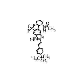 CC(=O)Nc1ccccc1-c1cc2nc(C=Cc3ccc(C(C)(C)C)cc3)[nH]c2cc1C(F)(F)F